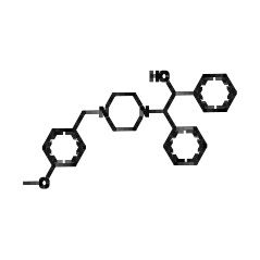 COc1ccc(CN2CCN(C(c3ccccc3)C(O)c3ccccc3)CC2)cc1